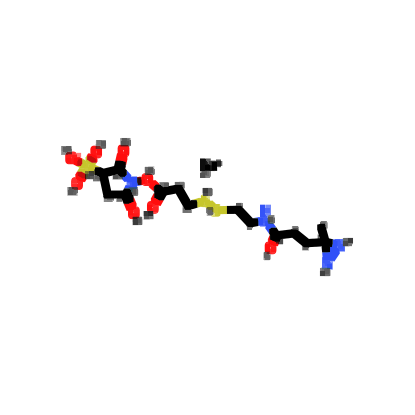 CC1(CCC(=O)NCCSSCCC(=O)ON2C(=O)CC(S(=O)(=O)[O-])C2=O)N=N1.[Na+]